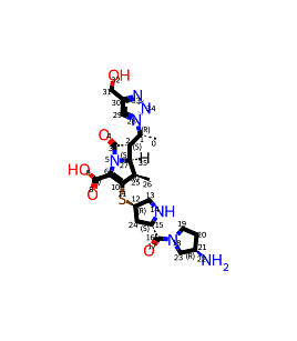 C[C@H]([C@H]1C(=O)N2C(C(=O)O)=C(S[C@H]3CN[C@H](C(=O)N4CC[C@@H](N)C4)C3)[C@H](C)[C@H]12)n1cc(CO)nn1